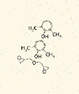 C(OCC1CO1)C1CO1.Cc1cccc(C)c1O.Cc1cccc(C)c1O